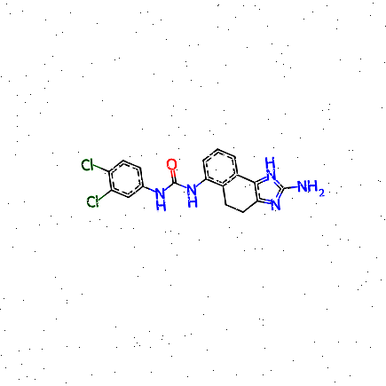 Nc1nc2c([nH]1)-c1cccc(NC(=O)Nc3ccc(Cl)c(Cl)c3)c1CC2